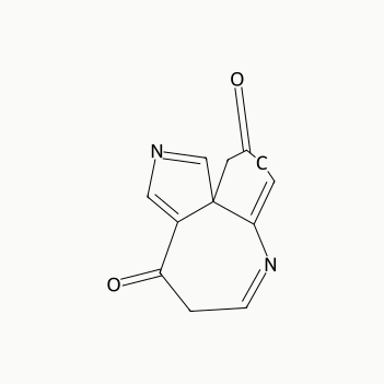 O=C1CC=C2N=CCC(=O)C3=CN=CC23C1